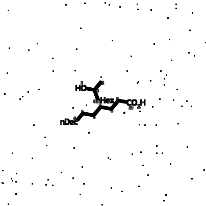 CCCCCCC(C)O.CCCCCCCCCCCCCCCC(=O)O